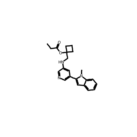 CCC(=O)OC1(CNc2cncc(-c3cc4ccccc4n3C)c2)CCC1